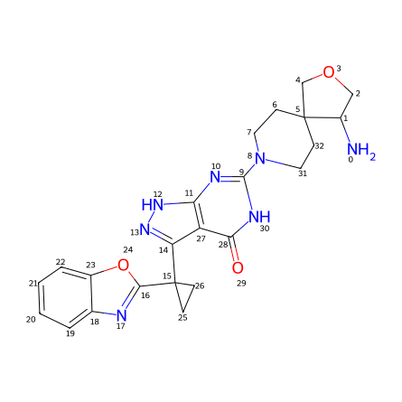 NC1COCC12CCN(c1nc3[nH]nc(C4(c5nc6ccccc6o5)CC4)c3c(=O)[nH]1)CC2